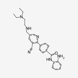 CCN(CC)CCNCc1cnc(-c2ccc(C(=O)Nc3ccccc3N)cc2)c(C#N)c1